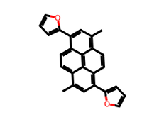 Cc1cc(-c2ccco2)c2ccc3c(C)cc(-c4ccco4)c4ccc1c2c34